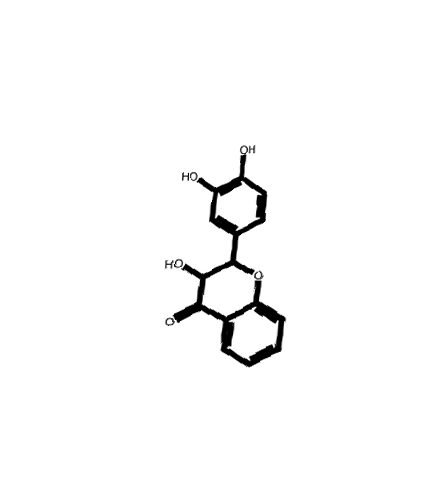 O=C1c2ccccc2OC(c2ccc(O)c(O)c2)C1O